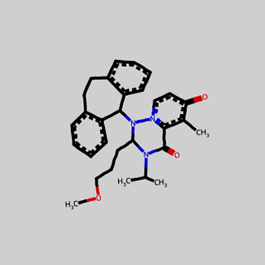 COCCCC1N(C(C)C)C(=O)c2c(C)c(=O)ccn2N1C1c2ccccc2CCc2ccccc21